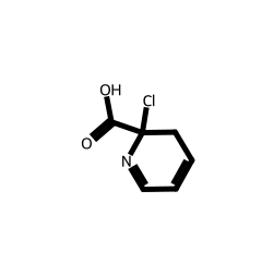 O=C(O)C1(Cl)CC=CC=N1